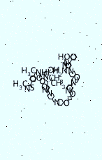 Cc1ncsc1-c1ccc([C@H](C)NC(=O)[C@@H]2C[C@@H](O)CN2C(=O)[C@@H](c2cc(N3CCC(CN4CCC(O[C@H]5C[C@H](Oc6cc(N7CCOC8(CCN(c9cc(-c%10ccccc%10O)nnc9N)CC8)C7)ccn6)C5)CC4)CC3)no2)C(C)C)cc1